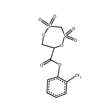 O=C(Oc1ccccc1C(F)(F)F)C1COS(=O)(=O)CS(=O)(=O)O1